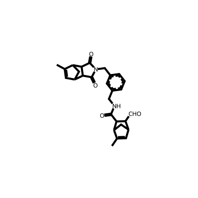 CC1=CC2CC1C(C(=O)NCc1cccc(CN3C(=O)C4C5C=C(C)C(C5)C4C3=O)c1)C2C=O